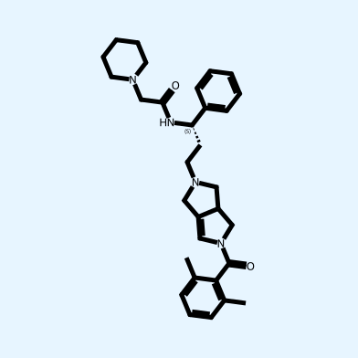 Cc1cccc(C)c1C(=O)N1C=C2CN(CC[C@H](NC(=O)CN3CCCCC3)c3ccccc3)CC2C1